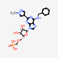 Cn1cc(-c2nc(NCc3ccccc3)c3ncn([C@@H]4O[C@H](COCP(=O)(O)O)[C@@H](O)[C@H]4O)c3n2)cn1